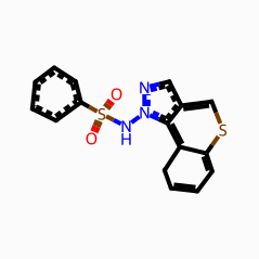 O=S(=O)(Nn1ncc2c1=C1CC=CC=C1SC=2)c1ccccc1